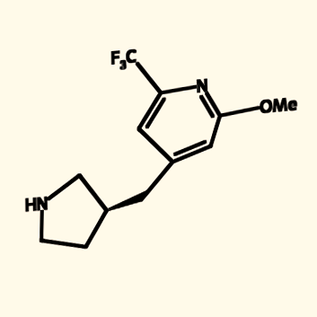 COc1cc(C[C@H]2CCNC2)cc(C(F)(F)F)n1